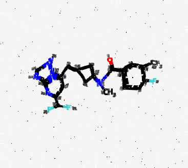 CN(C(=O)c1ccc(F)c(C(F)(F)F)c1)C1CC(=Cc2cc(C(F)F)nc3ncnn23)C1